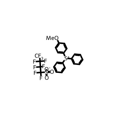 COc1ccc([S+](c2ccccc2)c2ccccc2)cc1.O=S(=O)([O-])C(F)(F)C(F)(F)C(F)(F)C(F)(F)F